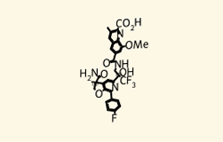 COc1cc(C(=O)NC[C@](O)(c2cc3c(c(-c4ccc(F)cc4)n2)OC[C@]3(C)C(N)=O)C(F)(F)F)cc2cc(C)c(C(=O)O)nc12